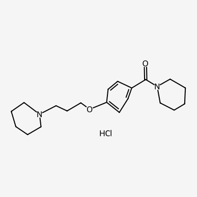 Cl.O=C(c1ccc(OCCCN2CCCCC2)cc1)N1CCCCC1